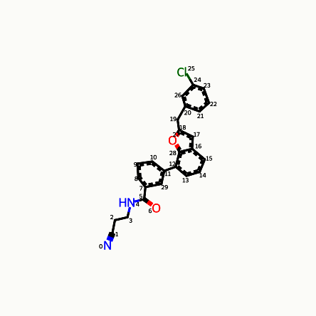 N#CCCNC(=O)c1cccc(-c2cccc3cc(Cc4cccc(Cl)c4)oc23)c1